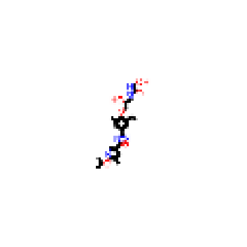 CCc1cc(-c2noc(-c3cnc(OC(C)C)c(C)c3)n2)cc(C)c1OC[C@@H](O)CNC(=O)CO